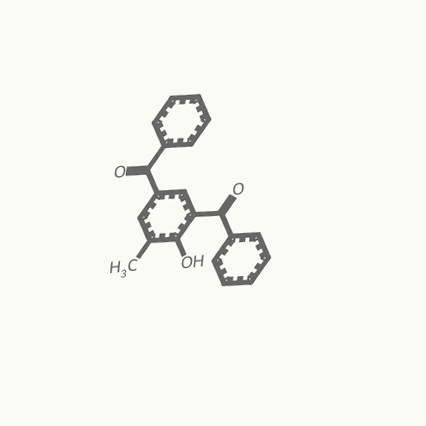 Cc1cc(C(=O)c2ccccc2)cc(C(=O)c2ccccc2)c1O